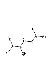 OC(OCC(F)F)C(F)F